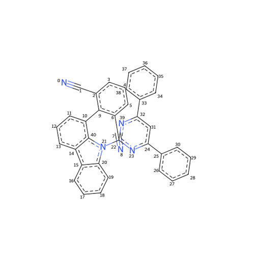 N#Cc1cccc(C#N)c1-c1cccc2c3ccccc3n(-c3nc(-c4ccccc4)cc(-c4ccccc4)n3)c12